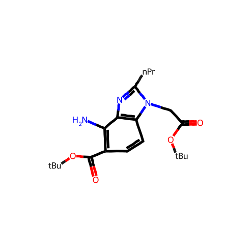 CCCc1nc2c(N)c(C(=O)OC(C)(C)C)ccc2n1CC(=O)OC(C)(C)C